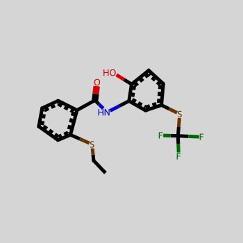 CCSc1ccccc1C(=O)Nc1cc(SC(F)(F)F)ccc1O